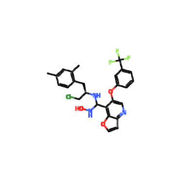 Cc1ccc(C[C@H](CCl)NC(NO)c2c(Oc3cccc(C(F)(F)F)c3)cnc3ccoc23)c(C)c1